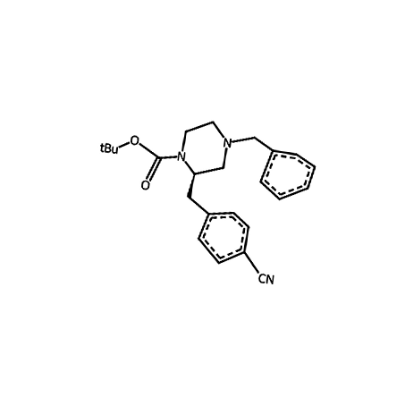 CC(C)(C)OC(=O)N1CCN(Cc2ccccc2)C[C@H]1Cc1ccc(C#N)cc1